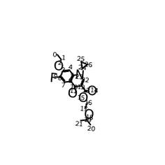 CCOc1cc2c(cc1F)c(=O)c(C(=O)OCCOC(C)C)cn2C1CC1